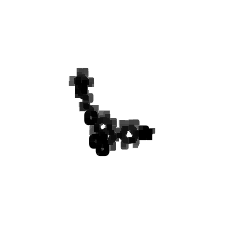 O=S1(=O)C=C(c2ccc(Br)cc2)c2ccc(OCCCCN3CCC3)cc21